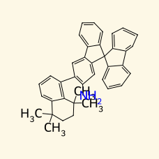 CC1(C)CCC(C)(C)c2c(-c3cc4c(cc3N)C3(c5ccccc5-c5ccccc53)c3ccccc3-4)cccc21